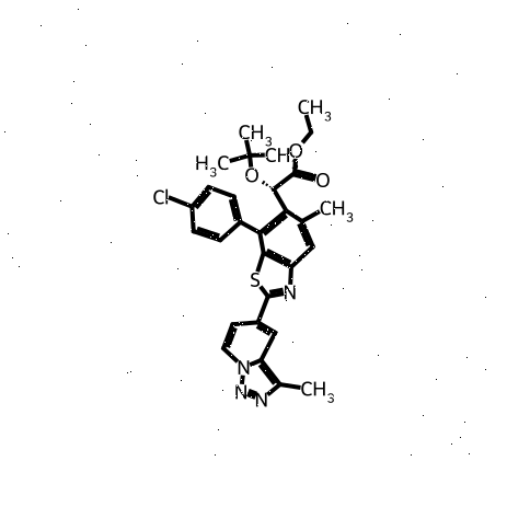 CCOC(=O)[C@@H](OC(C)(C)C)c1c(C)cc2nc(-c3ccn4nnc(C)c4c3)sc2c1-c1ccc(Cl)cc1